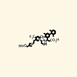 COCC1CN(CCc2cn([C@H](CNC(CC(=O)O)c3cc(-c4c(C)cccc4C)cc(C)c3F)CC(C)C)c(=O)cc2C(F)(F)F)C1